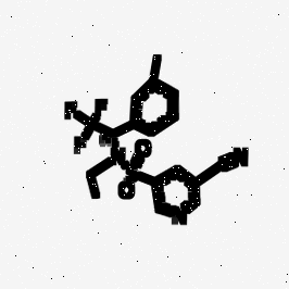 CCN([C@@H](c1cccc(C)c1)C(F)(F)F)S(=O)(=O)c1cncc(C#N)c1